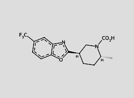 C[C@@H]1CC[C@@H](c2nc3cc(C(F)(F)F)ccc3o2)CN1C(=O)O